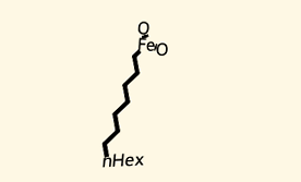 CCCCCCCCCCCC[CH2][Fe](=[O])=[O]